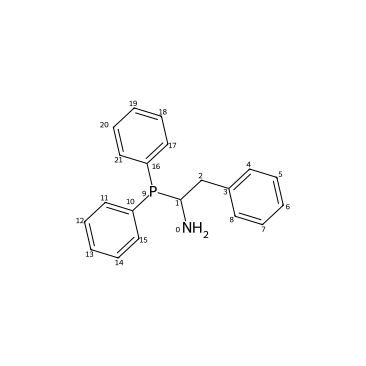 NC(Cc1ccccc1)P(c1ccccc1)c1ccccc1